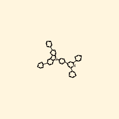 c1ccc(-c2ccc3c(c2)c2cc(-c4ccccc4)ccc2n3-c2ccc(-c3cc(-c4ccccc4)nc(-c4ccccc4)c3)cc2)cc1